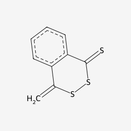 C=C1SSC(=S)c2ccccc21